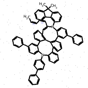 C/C=C\C=C/c1cc2cccc3c4cc(-c5ccccc5)ccc4n(-c4ccc(-c5ccccc5)cc4)c4ccccc4c4cccc(c5cc(-c6ccccc6)ccc5n1-c1cccc5c1-c1ccccc1C5(C)C)c4c23